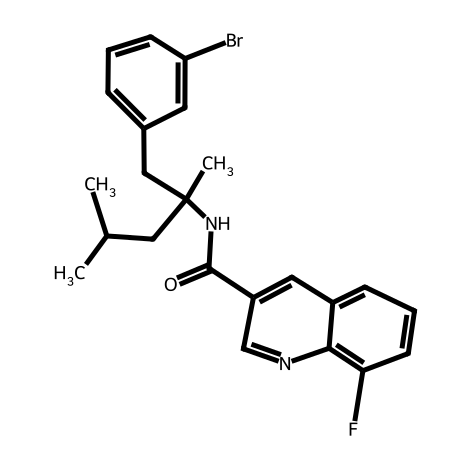 CC(C)CC(C)(Cc1cccc(Br)c1)NC(=O)c1cnc2c(F)cccc2c1